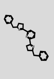 c1ccc(CC2CCC(c3cccc(C4=NC(Cc5ccccc5)CC4)n3)=N2)cc1